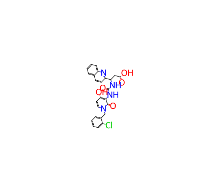 O=C(O)CC(NC(=O)Nc1c(O)ccn(Cc2ccccc2Cl)c1=O)c1ccc2ccccc2n1